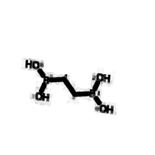 OB(O)CCB(O)O